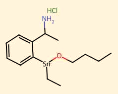 CCCC[O][Sn]([CH2]C)[c]1ccccc1C(C)N.Cl